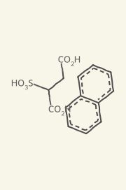 O=C(O)CC(C(=O)O)S(=O)(=O)O.c1ccc2ccccc2c1